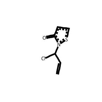 C=CC(Cl)n1sccc1=O